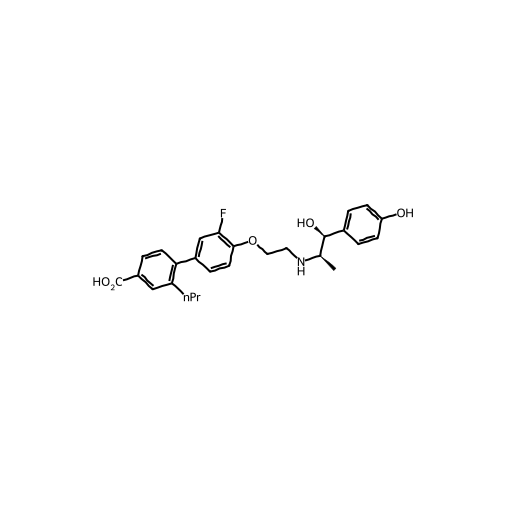 CCCc1cc(C(=O)O)ccc1-c1ccc(OCCN[C@H](C)[C@@H](O)c2ccc(O)cc2)c(F)c1